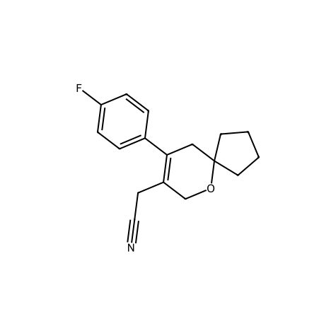 N#CCC1=C(c2ccc(F)cc2)CC2(CCCC2)OC1